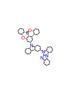 c1ccc2c(c1)Oc1cc(-n3c4ccccc4c4cc(-n5c6ccccc6n6c7ccccc7nc56)ccc43)cc3c1B2Oc1ccccc1-3